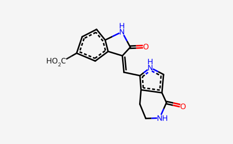 O=C1Nc2ccc(C(=O)O)cc2/C1=C/c1[nH]cc2c1CCNC2=O